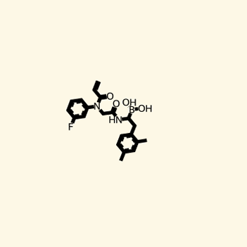 C=CC(=O)N(CC(=O)NC(Cc1ccc(C)cc1C)B(O)O)c1cccc(F)c1